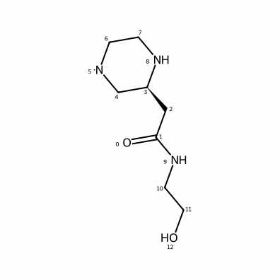 O=C(C[C@H]1C[N]CCN1)NCCO